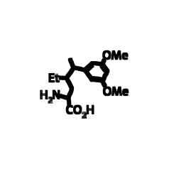 CCC(CC(N)C(=O)O)C(C)c1cc(OC)cc(OC)c1